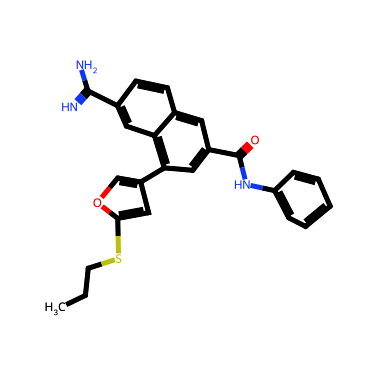 CCCSc1cc(-c2cc(C(=O)Nc3ccccc3)cc3ccc(C(=N)N)cc23)co1